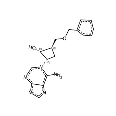 Nc1c2ncnc-2ncn1[C@H]1C[C@H](COCc2ccccc2)[C@H]1O